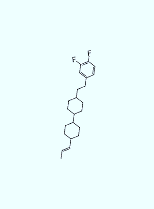 CC=CC1CCC(C2CCC(CCc3ccc(F)c(F)c3)CC2)CC1